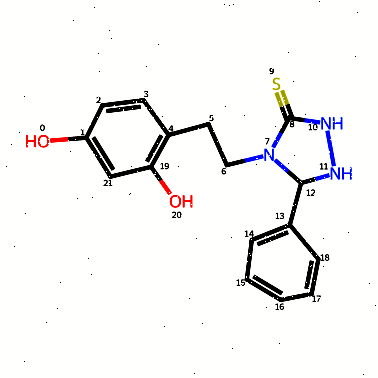 Oc1ccc(CCN2C(=S)NNC2c2ccccc2)c(O)c1